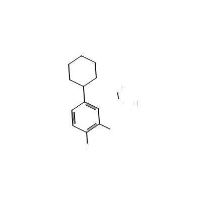 Fc1ccc(C2CCCCC2)cc1F.O=C(O)O